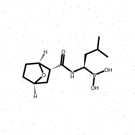 CC(C)C[C@H](NC(=O)[C@@H]1C[C@H]2CC[C@@H]1O2)B(O)O